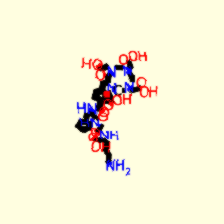 NCCCCC(NC(=O)CNC(=O)C(Cc1ccccc1)NC(=O)c1ccc(CC2CN(CC(=O)O)CCN(CC(=O)O)CCN(CC(=O)O)CCN2CC(=O)O)cc1)C(=O)O